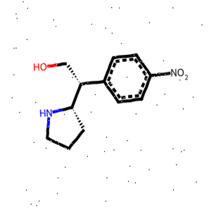 O=[N+]([O-])c1ccc([C@@H](CO)[C@@H]2CCCN2)cc1